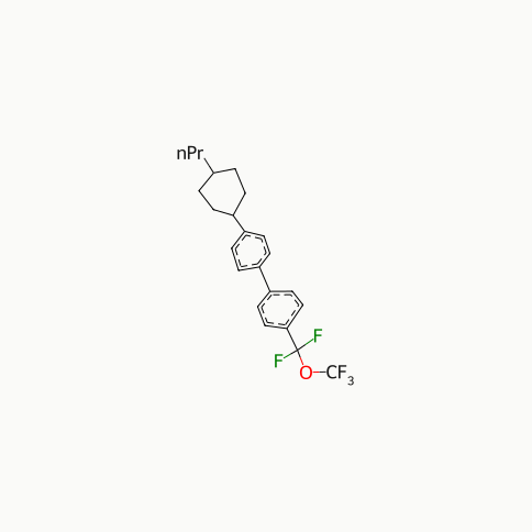 CCCC1CCC(c2ccc(-c3ccc(C(F)(F)OC(F)(F)F)cc3)cc2)CC1